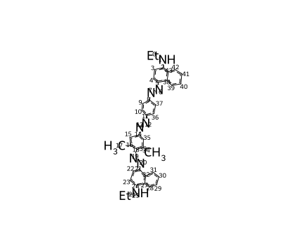 CCNc1ccc(N=Nc2ccc(N=Nc3cc(C)c(N=Nc4ccc(NCC)c5ccccc45)c(C)c3)cc2)c2ccccc12